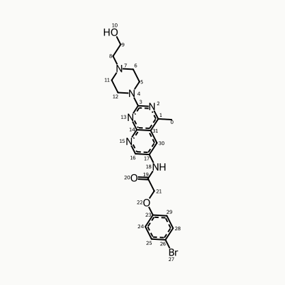 Cc1nc(N2CCN(CCO)CC2)nc2ncc(NC(=O)COc3ccc(Br)cc3)cc12